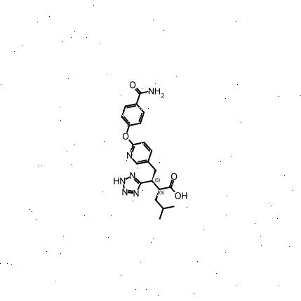 CC(C)C[C@H](C(=O)O)[C@H](Cc1ccc(Oc2ccc(C(N)=O)cc2)nc1)c1nn[nH]n1